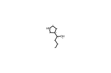 CCCC(O)C1CCNC1